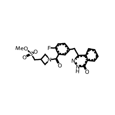 COS(=O)(=O)CC1CN(C(=O)c2cc(Cc3n[nH]c(=O)c4ccccc34)ccc2F)C1